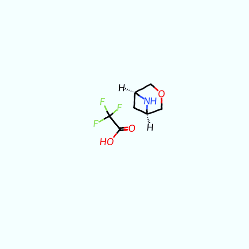 C1OC[C@H]2C[C@@H]1N2.O=C(O)C(F)(F)F